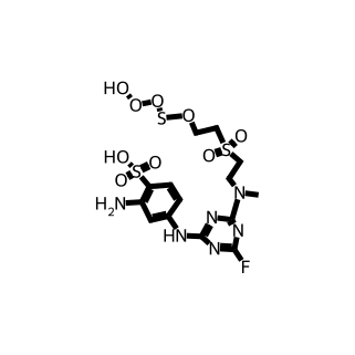 CN(CCS(=O)(=O)CCOSOOO)c1nc(F)nc(Nc2ccc(S(=O)(=O)O)c(N)c2)n1